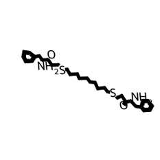 NC(Cc1ccccc1)C(=O)CCSCCCCCCCCCCSCCC(=O)C(N)Cc1ccccc1